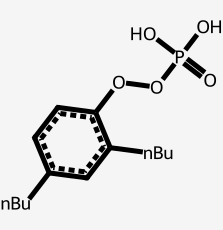 CCCCc1ccc(OOP(=O)(O)O)c(CCCC)c1